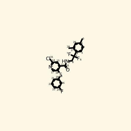 Cc1ccc(C(F)(F)CNC(=O)c2cc(Cl)ncc2Sc2cccc(F)c2)c(C)c1